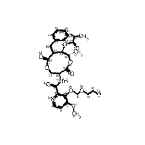 COc1ccnc(C(=O)N[C@H]2COC(=O)C(Cc3ccccc3)[C@@H](OC(=O)C(C)C)[C@H](C)OC2=O)c1OCOCCCl